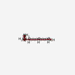 C#CCOC(=O)NCCOCCOCCOCCOCCC(=O)NCCOCCOCCOCCOCCC(=O)NCCCCn1nc(-c2ccc3oc(N)nc3c2)c2c(N)ncnc21